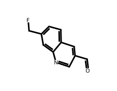 O=Cc1cnc2cc(CF)ccc2c1